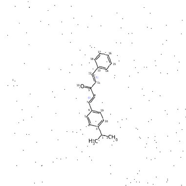 CC(C)c1ccc(/C=C/C(=O)/C=C/c2ccccc2)cc1